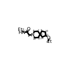 CCNC(=O)CN1CCC2(CCC(OCC)C2)CC1